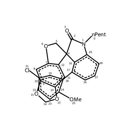 CCCCCN1C(=O)C2(COc3cc4c(cc32)OCO4)c2c(-c3cc(Cl)ccc3OC)cccc21